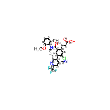 COc1cccc(C)c1N(C)C(=O)c1cc(-c2cnc(C(F)(F)F)cc2C#N)c(Cl)cc1CCC(=O)O